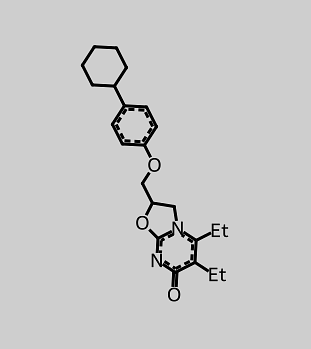 CCc1c(CC)n2c(nc1=O)OC(COc1ccc(C3CCCCC3)cc1)C2